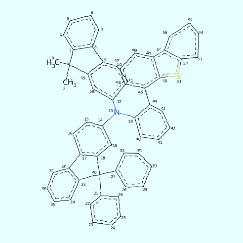 CC1(C)c2ccccc2-c2ccc(N(c3ccc4c(c3)C(c3ccccc3)(c3ccccc3)c3ccccc3-4)c3ccccc3-c3cccc4c3sc3ccccc34)cc21